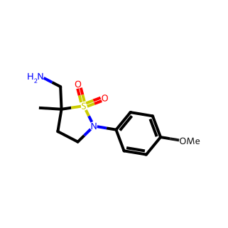 COc1ccc(N2CCC(C)(CN)S2(=O)=O)cc1